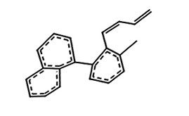 C=C/C=C\c1c(C)cccc1-c1cccc2ccccc12